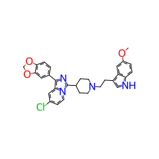 COc1ccc2[nH]cc(CCN3CCC(c4nc(-c5ccc6c(c5)OCO6)c5cc(Cl)ccn45)CC3)c2c1